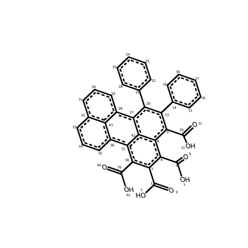 O=C(O)c1c(C(=O)O)c2c(C(=O)O)c(-c3ccccc3)c(-c3ccccc3)c3c4cccc5cccc(c(c1C(=O)O)c23)c54